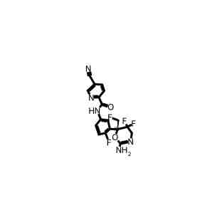 N#Cc1ccc(C(=O)Nc2ccc(F)c([C@@]3(CF)OC(N)=NCC3(F)F)c2)nc1